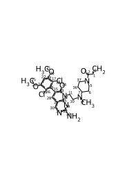 C=CC(=O)N1CCC(N(C)CCn2c(=O)c(-c3c(Cl)c(OC)cc(OC)c3Cl)cc3cnc(N)nc32)CC1